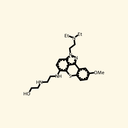 CCN(CC)CCn1nc2c3c(c(NCCNCCO)ccc31)Sc1ccc(OC)cc1-2